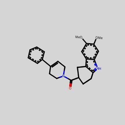 COc1cc2[nH]c3c(c2cc1OC)CC(C(=O)N1CC=C(c2ccccc2)CC1)CC3